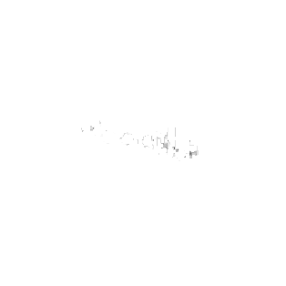 O=C(O)CC1CCC(c2ccc(-c3ccc4c(c3)CCN4C(=O)Nc3cccc(C(F)(F)F)c3)cc2)CC1